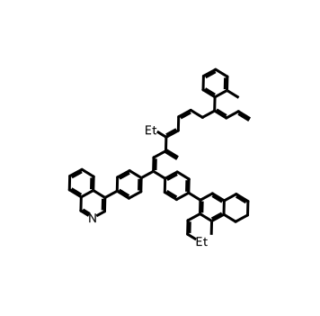 C=C/C=C(/C/C=C\C=C(/CC)C(=C)/C=C(\c1ccc(-c2cc3c(c(C)c2/C=C\CC)CCC=C3)cc1)c1ccc(-c2cncc3ccccc23)cc1)c1ccccc1C